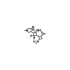 COC1CC(N)C1C1C(N)C(C2CN(C)CC2N)C1(F)F